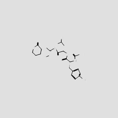 CC(C)C[C@H](NC(=O)[C@H](Cc1ccc(O)cc1)NC(=O)O)C(=O)N[C@H](CO)C[C@@H]1CCCNC1=O